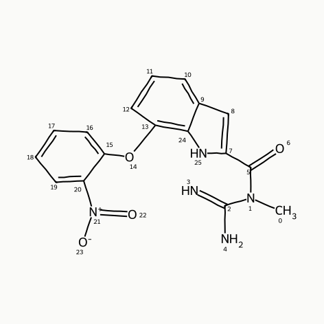 CN(C(=N)N)C(=O)c1cc2cccc(Oc3ccccc3[N+](=O)[O-])c2[nH]1